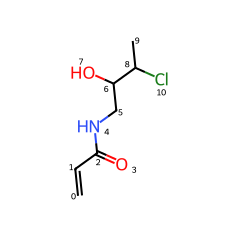 C=CC(=O)NCC(O)C(C)Cl